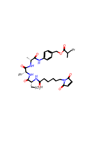 CC(C)C(C)C(=O)OCc1ccc(NC(=O)[C@@H](C)NC(=O)[C@H](NC(=O)[C@@H](CS(=O)(=O)O)NC(=O)CCCCCN2C(=O)C=CC2=O)C(C)C)cc1